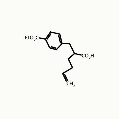 C=CCCC(Cc1ccc(C(=O)OCC)cc1)C(=O)O